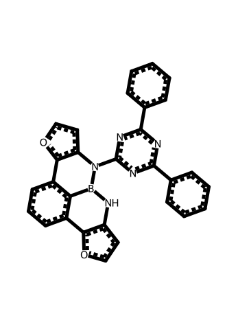 c1ccc(-c2nc(-c3ccccc3)nc(N3B4Nc5ccoc5-c5cccc(c54)-c4occc43)n2)cc1